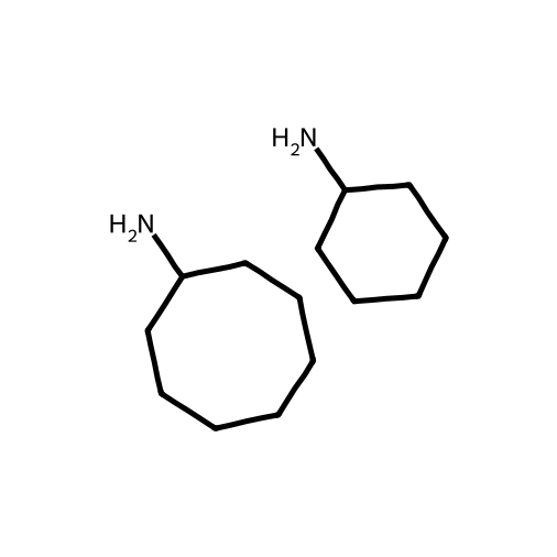 NC1CCCCC1.NC1CCCCCCC1